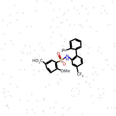 COc1ccc(C(=O)O)cc1S(=O)(=O)Nc1cc(C(F)(F)F)ccc1-c1ccccc1C(C)C